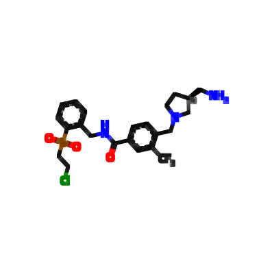 NC[C@@H]1CCN(Cc2ccc(C(=O)NCc3ccccc3S(=O)(=O)CCCl)cc2C(F)(F)F)C1